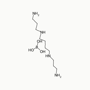 NCCCNCCCCNCCCN.OB(O)O